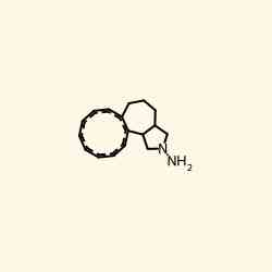 NN1CC2CCCc3ccccccccc3C2C1